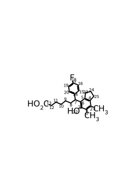 Cc1c(C)c2c(c(C(CCCCCC(=O)O)c3ccc(F)cc3)c1O)CCC2